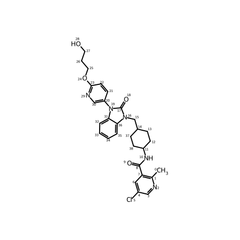 Cc1ncc(Cl)cc1C(=O)NC1CCC(Cn2c(=O)n(-c3ccc(OCCCO)nc3)c3ccccc32)CC1